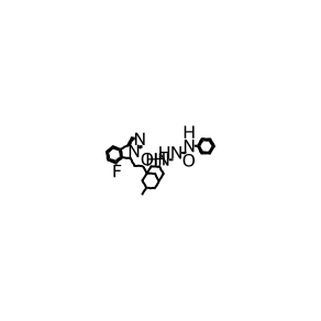 CC1CC2CC(NCNC(=O)Nc3ccccc3)CC(C(O)CC3c4c(F)cccc4-c4cncn43)(C1)C2